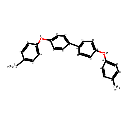 CCCCCc1ccc(Oc2ccc(-c3ccc(Oc4ccc(C)cc4)cc3)cc2)cc1